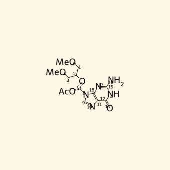 COCC(COC)OC(OC(C)=O)n1cnc2c(=O)[nH]c(N)nc21